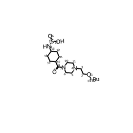 CCCCOCCN1CCN(C(=O)C2CCC(NS(=O)O)CC2)CC1